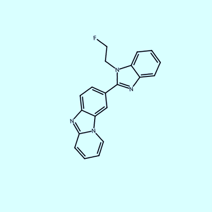 FCCn1c(-c2ccc3nc4ccccn4c3c2)nc2ccccc21